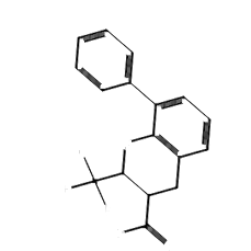 O=C(O)C1Cc2cccc(-c3ccccc3)c2OC1C(F)(F)F